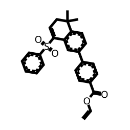 C=COC(=O)c1ccc(-c2ccc3c(c2)C(S(=O)(=O)c2ccccc2)=CCC3(C)C)cc1